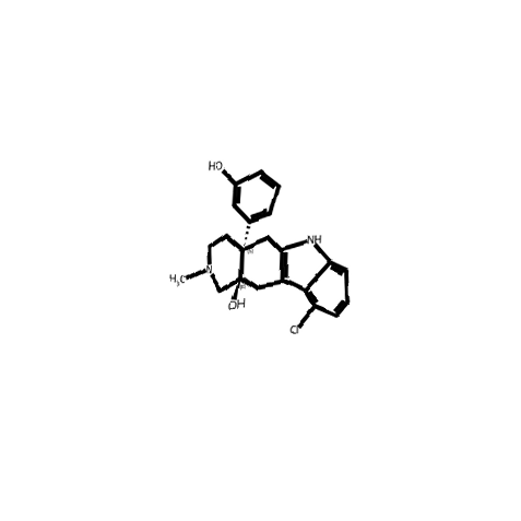 CN1CC[C@@]2(c3cccc(O)c3)Cc3[nH]c4cccc(Cl)c4c3C[C@]2(O)C1